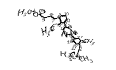 CCOC(=O)CCCc1cccc(-c2cnc(-c3ccc(CC(C)C)c(C)c3)nc2)c1CC